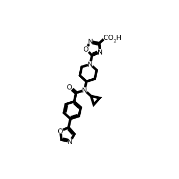 O=C(O)c1noc(N2CCC(N(C(=O)c3ccc(-c4cnco4)cc3)C3CC3)CC2)n1